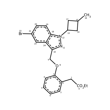 CCOC(=O)Cc1ccccc1OCc1nn(C2CC(C)C2)c2ccc(Br)cc12